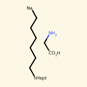 CCCCCCCCCCCC[CH2][Na].NCC(=O)O